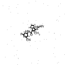 Cc1c(SNC(C)C)c2n(c1C(=O)Nc1cc(F)nc(C#N)c1)CC=C2